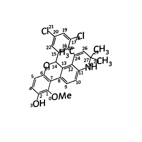 COc1c(O)ccc2c1-c1ccc3c(c1C(c1cc(Cl)cc(Cl)c1)O2)C(C)=CC(C)(C)N3